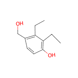 CCc1c(O)ccc(CO)c1CC